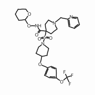 O=C(NOC1CCCCO1)C1(S(=O)(=O)N2CCC(Oc3ccc(OC(F)(F)F)cc3)CC2)CCN(Cc2ccccn2)CC1